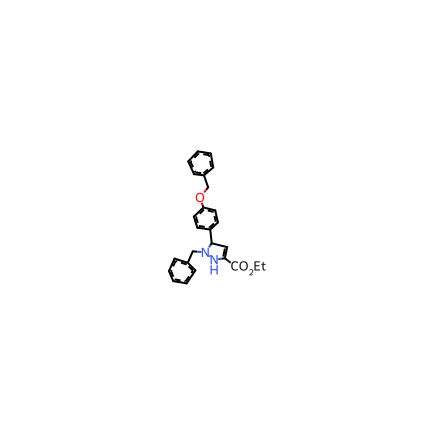 CCOC(=O)C1=CC(c2ccc(OCc3ccccc3)cc2)N(Cc2ccccc2)N1